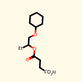 CCC(COC1CCCCC1)OC(=O)CCC(=O)O